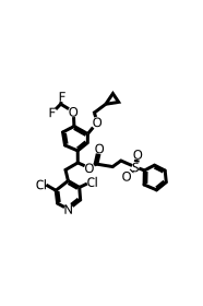 O=C(CCS(=O)(=O)c1ccccc1)OC(Cc1c(Cl)cncc1Cl)c1ccc(OC(F)F)c(OCC2CC2)c1